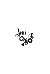 CCC[C@H](NC)C(=O)N1CCC(N(C2CC2)S(=O)(=O)c2cccc(C(F)(F)F)c2)CC1